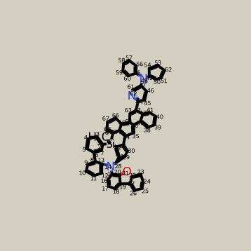 C[Si]12c3cccc(c3)-c3ccccc3N(c3cccc4c3oc3ccccc34)c3ccc(c1c3)-c1cc3c4ccccc4c(-c4ccc(N(c5ccccc5)c5ccccc5)cn4)cc3c3cccc2c13